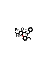 CCc1cccc(C)c1N(Cc1ccccc1)C(=O)c1c(C)[nH]c(CC)c(Br)c1=O